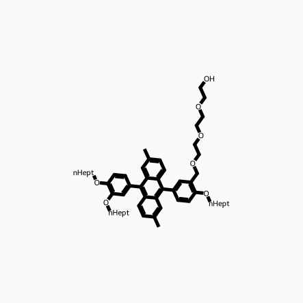 CCCCCCCOc1ccc(-c2c3ccc(C)cc3c(-c3ccc(OCCCCCCC)c(OCCCCCCC)c3)c3ccc(C)cc23)cc1COCCOCCOCCO